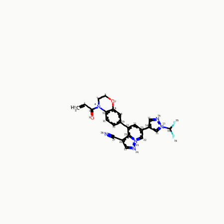 C=CC(=O)N1CCOc2cc(-c3cc(-c4cnn(C(F)F)c4)cn4ncc(C#N)c34)ccc21